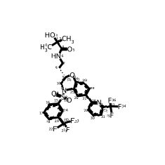 CC(C)(O)C(=O)NCC[C@H]1CN(S(=O)(=O)c2cccc(C(F)(F)F)c2)c2cc(-c3cccc(C(F)(F)F)n3)ccc2O1